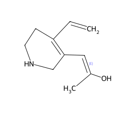 C=CC1=C(/C=C(\C)O)CNCC1